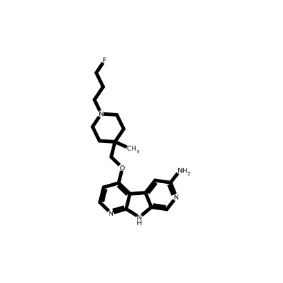 CC1(COc2ccnc3[nH]c4cnc(N)cc4c23)CCN(CCCF)CC1